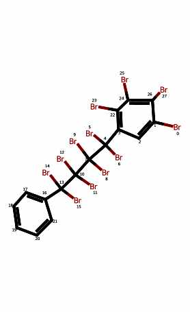 Brc1cc(C(Br)(Br)C(Br)(Br)C(Br)(Br)C(Br)(Br)c2ccccc2)c(Br)c(Br)c1Br